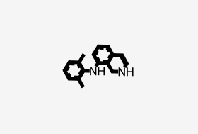 Cc1cccc(C)c1Nc1cccc2c1CNC=C2